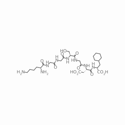 NCCCC[C@H](N)C(=O)NCC(=O)NCC(=O)N[C@@H](CO)C(=O)NCC(=O)N[C@@H](CC(=O)O)C(=O)N[C@@H](CC1CCCCC1)C(=O)O